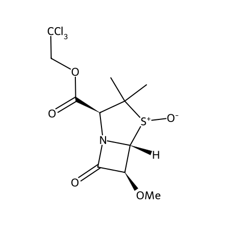 CO[C@H]1C(=O)N2[C@@H]1[S+]([O-])C(C)(C)[C@@H]2C(=O)OCC(Cl)(Cl)Cl